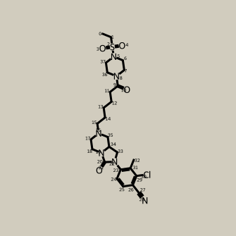 CCS(=O)(=O)N1CCN(C(=O)CCCCCN2CCN3C(=O)N(c4ccc(C#N)c(Cl)c4C)CC3C2)CC1